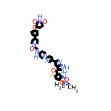 CCN(C)S(=O)(=O)Nc1ccc(F)c(C(=O)c2c[nH]c3ncc(-c4ccc(N5CCC(NCC(=O)N6CCC(c7ccc(O[C@H]8CCC(=O)NC8=O)cc7)CC6)CC5)nc4)cc23)c1F